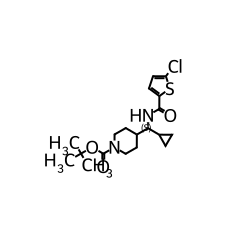 CC(C)(C)OC(=O)N1CCC([C@@H](NC(=O)c2ccc(Cl)s2)C2CC2)CC1